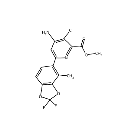 COC(=O)c1nc(-c2ccc3c(c2C)OC(F)(F)O3)cc(N)c1Cl